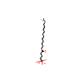 CCCCCCCCCCCCCC(=O)CCCC(O)(O)O